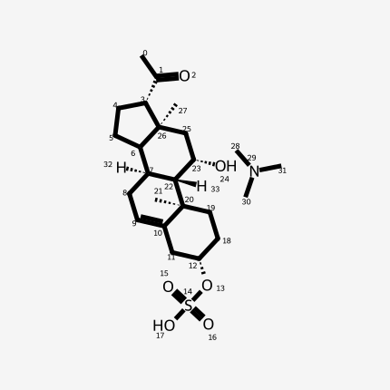 CC(=O)[C@H]1CCC2[C@@H]3CC=C4C[C@@H](OS(=O)(=O)O)CC[C@]4(C)[C@H]3[C@@H](O)C[C@@]21C.CN(C)C